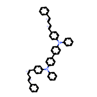 C(=C/c1ccc(N(c2ccccc2)c2ccc(-c3ccc(N(c4ccccc4)c4ccc(/C=C/C=C/c5ccccc5)cc4)cc3)cc2)cc1)/C=C/c1ccccc1